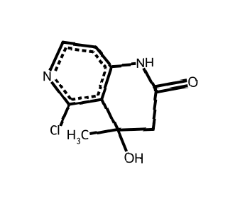 CC1(O)CC(=O)Nc2ccnc(Cl)c21